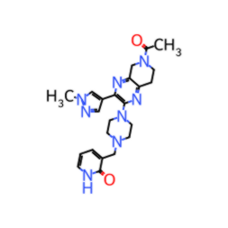 CC(=O)N1CCc2nc(N3CCN(Cc4ccc[nH]c4=O)CC3)c(-c3cnn(C)c3)nc2C1